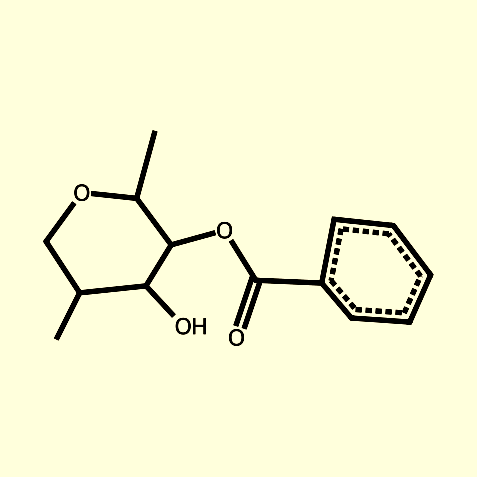 CC1COC(C)C(OC(=O)c2ccccc2)C1O